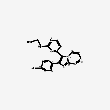 CC(C)(C)CNc1nccc(-c2c(-c3ccc(F)cc3)nc3nnccn23)n1